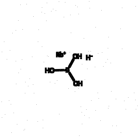 OB(O)O.[H-].[Rb+]